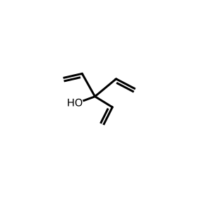 C=CC(O)(C=C)C=C